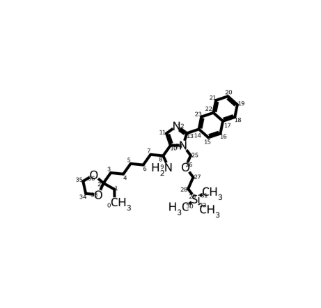 CCC1(CCCCCC(N)c2cnc(-c3ccc4ccccc4c3)n2COCC[Si](C)(C)C)OCCO1